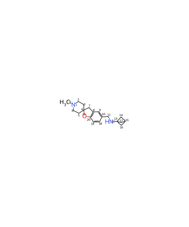 CN1CCC2(CC1)Cc1cc(CNC34CC(C3)C4)ccc1O2